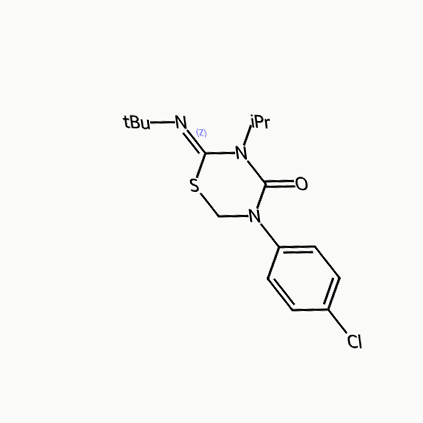 CC(C)N1C(=O)N(c2ccc(Cl)cc2)CS/C1=N\C(C)(C)C